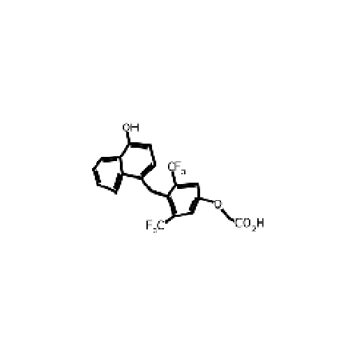 O=C(O)COc1cc(C(F)(F)F)c(Cc2ccc(O)c3ccccc23)c(C(F)(F)F)c1